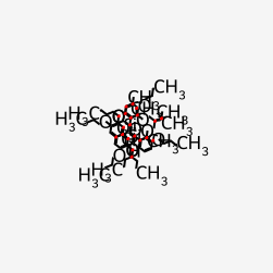 CCCCOc1ccc(OCCCC)c([SiH](O[SiH](c2c(OCCCC)ccc(OCCCC)c2OCCCC)c2c(OCCCC)ccc(OCCCC)c2OCCCC)c2c(OCCCC)ccc(OCCCC)c2OCCCC)c1OCCCC